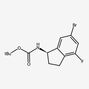 CC(C)(C)OC(=O)N[C@@H]1CCc2c(F)cc(Br)cc21